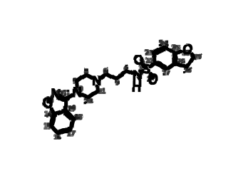 O=S(=O)(NCCCN1CCN(c2noc3ccccc23)CC1)c1ccc2c(c1)CCO2